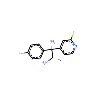 C[C@H](N)[C@@](N)(c1ccc(F)cc1)c1ccnc(F)c1